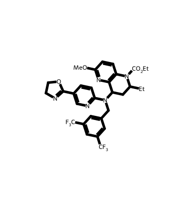 CCOC(=O)N1c2ccc(OC)nc2C(N(Cc2cc(C(F)(F)F)cc(C(F)(F)F)c2)c2ccc(C3=NCCO3)cn2)CC1CC